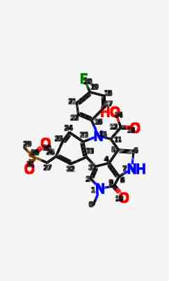 Cn1cc2c3c(c[nH]c3c1=O)C(C(=O)O)N(c1ccc(F)cc1)c1ccc(CS(C)(=O)=O)cc1-2